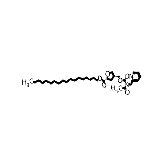 CCCCCCCCCCCCCCCCCCOC(=O)[C@H]1C[C@H](COC(=O)N(Cc2ccccn2)C(C)=O)CO1